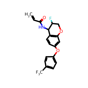 C=CC(=O)NC1c2ccc(Oc3ccc(C(F)(F)F)cc3)cc2OCC1F